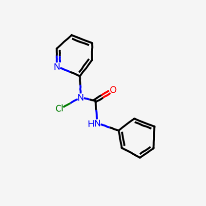 O=C(Nc1ccccc1)N(Cl)c1ccccn1